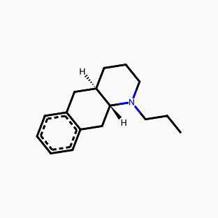 CCCN1CCC[C@@H]2Cc3ccccc3C[C@H]21